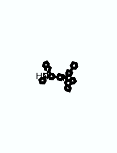 c1ccc(Nc2ccc(-c3ccc(N(c4ccc(-c5ccccc5)cc4)c4cc5ccccc5c5ccccc45)cc3)cc2-c2cc3ccccc3s2)cc1